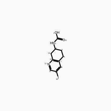 O=C(O)NC1CCc2cc(I)cnc2C1